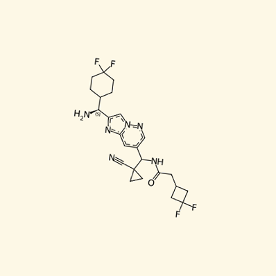 N#CC1(C(NC(=O)CC2CC(F)(F)C2)c2cnn3cc([C@@H](N)C4CCC(F)(F)CC4)nc3c2)CC1